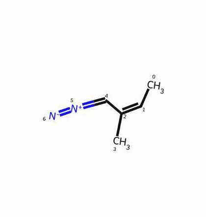 CC=C(C)C=[N+]=[N-]